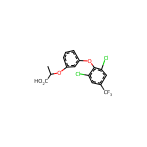 CC(Oc1cccc(Oc2c(Cl)cc(C(F)(F)F)cc2Cl)c1)C(=O)O